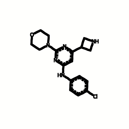 Clc1ccc(Nc2cc(C3CNC3)nc(N3CCOCC3)n2)cc1